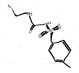 CC(=O)CNC(=O)NS(=O)(=O)c1ccc(C)cc1